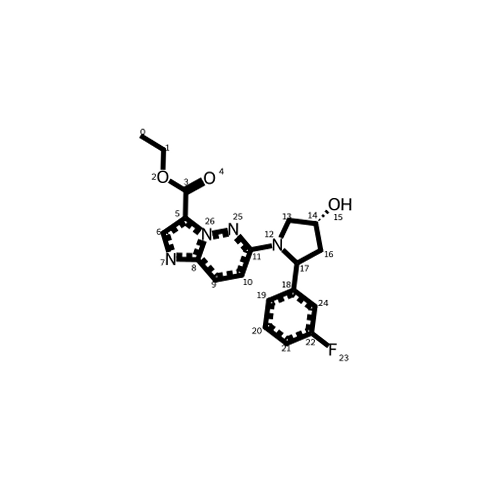 CCOC(=O)c1cnc2ccc(N3C[C@H](O)CC3c3cccc(F)c3)nn12